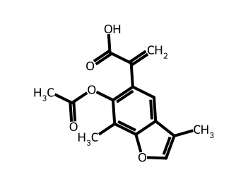 C=C(C(=O)O)c1cc2c(C)coc2c(C)c1OC(C)=O